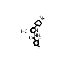 CN(C)C1CC=C(c2cccc(NC(=O)c3ccc(F)cc3F)n2)CC1.Cl